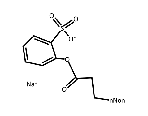 CCCCCCCCCCCC(=O)Oc1ccccc1S(=O)(=O)[O-].[Na+]